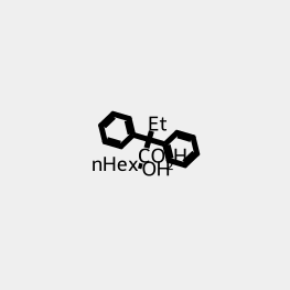 CCC(C(=O)O)(c1ccccc1)c1ccccc1.CCCCCCO